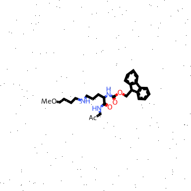 COCCCCNCCCC(NC(=O)OCC1c2ccccc2-c2ccccc21)C(=O)NCC(C)=O